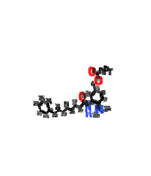 CCCC(=O)OCc1ccc(N(C)C)c(NC(=O)CCCCCCCc2ccccc2)c1